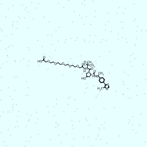 Cc1ncsc1-c1ccc([C@H](C)NC(=O)[C@@H]2C[C@@H](O)CN2C(=O)[C@@H](NC(=O)COCCOCCOCCOCCOCC(=O)O)C(C)(C)C)cc1